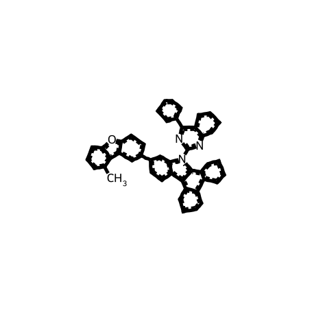 Cc1cccc2oc3ccc(-c4ccc5c6c7ccccc7c7ccccc7c6n(-c6nc(-c7ccccc7)c7ccccc7n6)c5c4)cc3c12